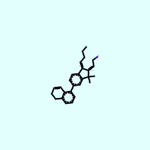 CCC/C=C1\C(=C/CI)C(C)(C)c2cc(-c3cccc4c3C=CCC4)ccc21